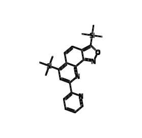 C[Si](C)(C)c1cc(-c2ccccn2)nc2c1ccc1c([Si](C)(C)C)onc12